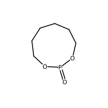 O=[P]1OCCCCCCO1